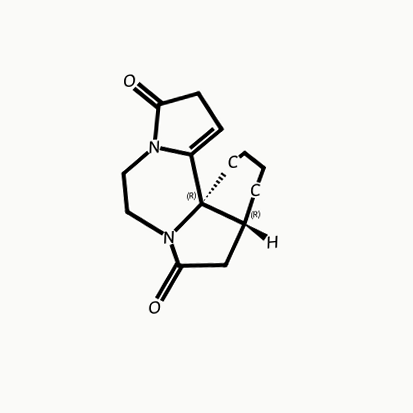 O=C1CC=C2N1CCN1C(=O)C[C@H]3CCCC[C@]231